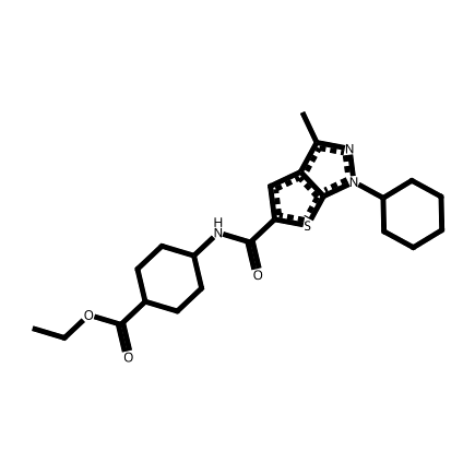 CCOC(=O)C1CCC(NC(=O)c2cc3c(C)nn(C4CCCCC4)c3s2)CC1